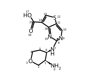 N[C@H]1COCC[C@H]1Nc1ncc2scc(C(=O)O)c2n1